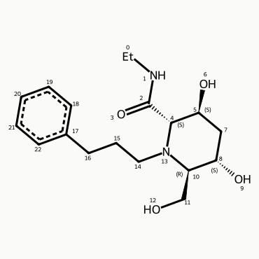 CCNC(=O)[C@@H]1[C@@H](O)C[C@H](O)[C@@H](CO)N1CCCc1ccccc1